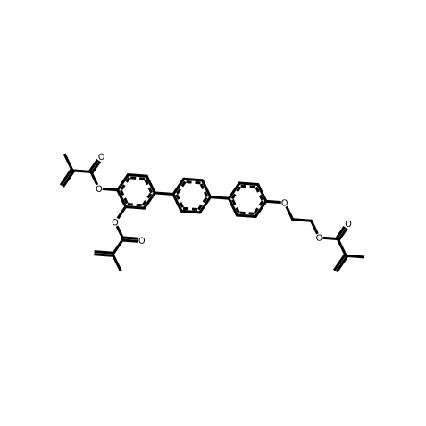 C=C(C)C(=O)OCCOc1ccc(-c2ccc(-c3ccc(OC(=O)C(=C)C)c(OC(=O)C(=C)C)c3)cc2)cc1